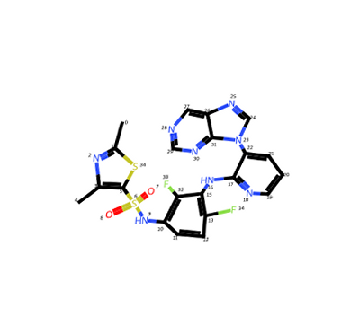 Cc1nc(C)c(S(=O)(=O)Nc2ccc(F)c(Nc3ncccc3-n3cnc4cncnc43)c2F)s1